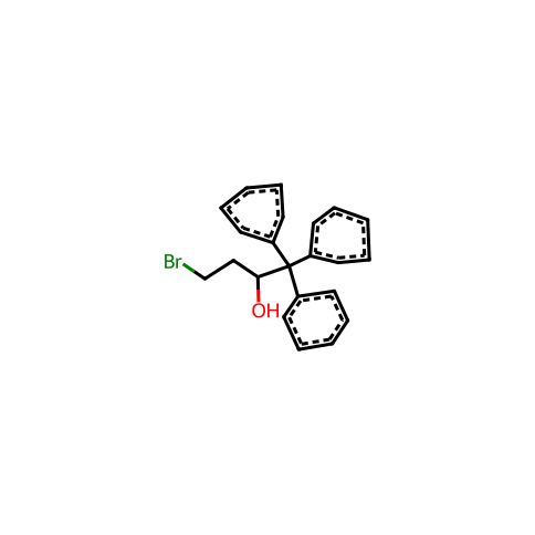 OC(CCBr)C(c1ccccc1)(c1ccccc1)c1ccccc1